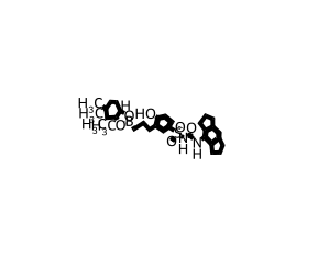 C[C@H]1C(C)(C)CC[C@H]2OB(CCCc3cc(S(=O)(=O)NC(=O)Nc4c5c(cc6c4CCC6)CCC5)ccc3O)O[C@]21C